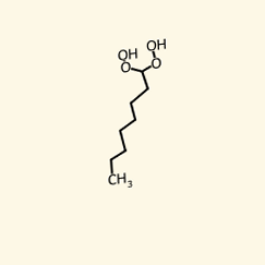 CCCCCCCC(OO)OO